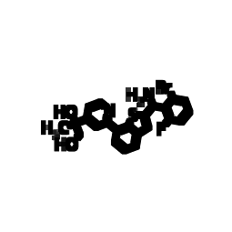 CC(O)(CO)c1ccnc(-c2cccc3cc(C(N)c4c(F)cccc4Br)sc23)c1